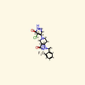 CC(c1ccccc1C(F)(F)F)n1[nH]c(=O)c2c1CCN(c1cn[nH]c(=O)c1Cl)C2